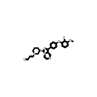 COc1cccc(Oc2ccc(-c3nc([C@@H]4CCCN(C=CC=O)C4)n4ccncc34)cc2)c1F